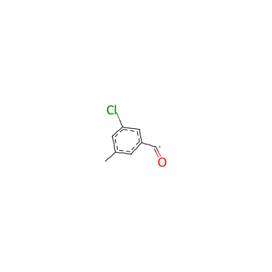 Cc1cc(Cl)cc([C]=O)c1